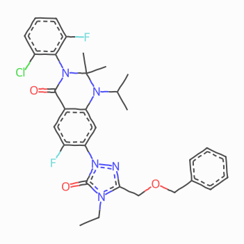 CCn1c(COCc2ccccc2)nn(-c2cc3c(cc2F)C(=O)N(c2c(F)cccc2Cl)C(C)(C)N3C(C)C)c1=O